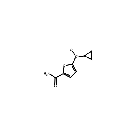 NC(=O)c1ccc([S+]([O-])C2CC2)o1